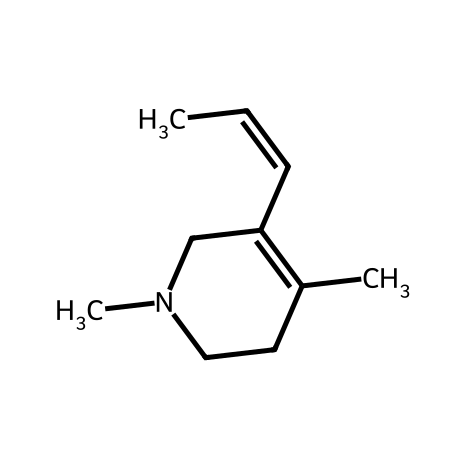 C/C=C\C1=C(C)CCN(C)C1